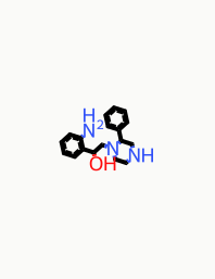 Nc1ccccc1C(O)CN1CCNCC1c1ccccc1